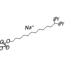 CC(C)C(CCCCCCCCCCCOS(=O)(=O)[O-])C(C)C.[Na+]